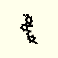 Nc1ccc2[nH]c3c(c2c1)CCCC3NCc1ccc(F)cc1